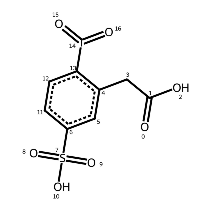 O=C(O)Cc1cc(S(=O)(=O)O)ccc1I(=O)=O